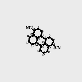 N#Cc1ccc2c3ccc(C#N)c4cccc(c5cccc1c52)c43